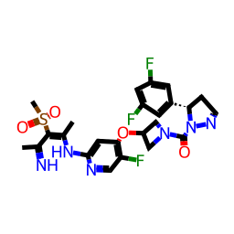 CC(=N)/C(=C(/C)Nc1cc(OC2CN(C(=O)N3N=CC[C@H]3c3cc(F)cc(F)c3)C2)c(F)cn1)S(C)(=O)=O